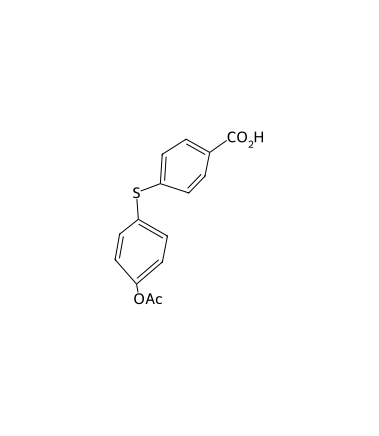 CC(=O)Oc1ccc(Sc2ccc(C(=O)O)cc2)cc1